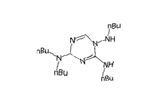 CCCCNC1=NC(N(CCCC)CCCC)N=CN1NCCCC